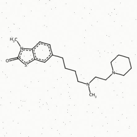 CN(CCCCc1ccc2c(c1)sc(=O)n2C)CCN1CCCCC1